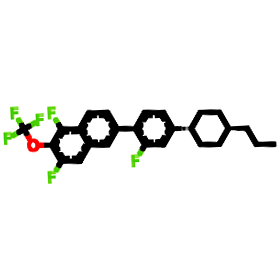 CCC[C@H]1CC[C@H](c2ccc(-c3ccc4c(F)c(OC(F)(F)F)c(F)cc4c3)c(F)c2)CC1